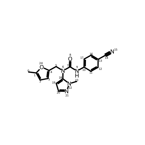 Cc1ccc(CN(C(=O)Nc2ccc(C#N)cc2)c2ccnn2C)o1